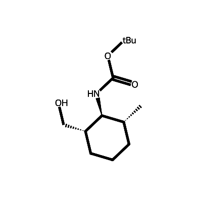 C[C@@H]1CCC[C@H](CO)[C@H]1NC(=O)OC(C)(C)C